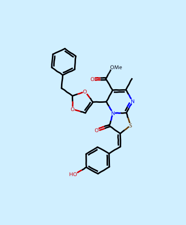 COC(=O)C1=C(C)N=c2sc(=Cc3ccc(O)cc3)c(=O)n2C1C1=COC(Cc2ccccc2)O1